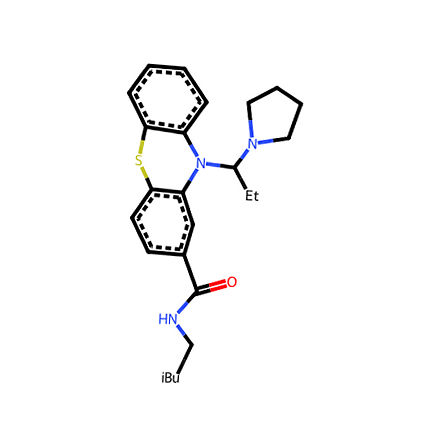 CCC(C)CNC(=O)c1ccc2c(c1)N(C(CC)N1CCCC1)c1ccccc1S2